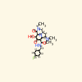 CCN1CC2C[C@@H](N(C)C)c3c(C(=O)NCc4ccc(F)cc4)c(=O)c(O)c(n32)C1=O